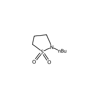 CCCCN1CCCS1(=O)=O